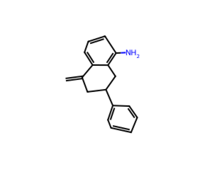 C=C1CC(c2ccccc2)Cc2c(N)cccc21